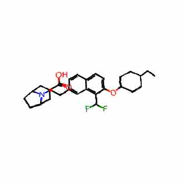 CCC1CCC(Oc2ccc3ccc(CCN4C5CCC4CC(C(=O)O)C5)cc3c2C(F)F)CC1